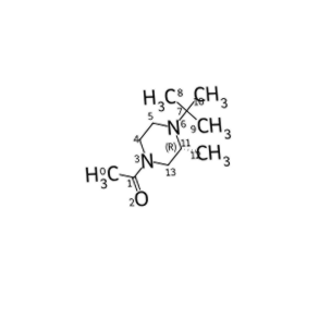 CC(=O)N1CCN(C(C)(C)C)[C@H](C)C1